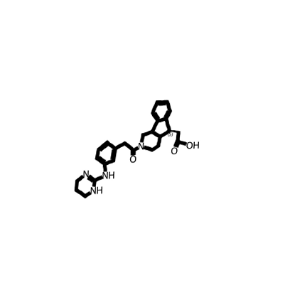 O=C(O)C[C@@H]1c2ccccc2C2CN(C(=O)Cc3cccc(NC4=NCCCN4)c3)CCC21